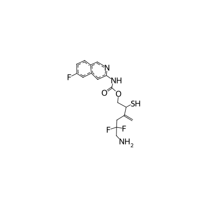 C=C(CC(F)(F)CN)C(S)COC(=O)Nc1cc2cc(F)ccc2cn1